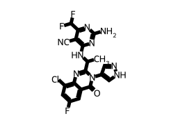 CC(Nc1nc(N)nc(C(F)F)c1C#N)c1nc2c(Cl)cc(F)cc2c(=O)n1-c1cn[nH]c1